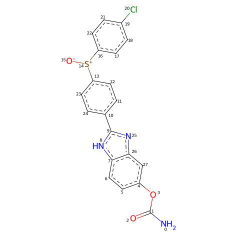 NC(=O)Oc1ccc2[nH]c(-c3ccc([S+]([O-])c4ccc(Cl)cc4)cc3)nc2c1